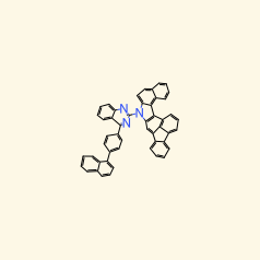 c1ccc2c(c1)-c1cccc3c1c-2cc1c3c2c3ccccc3ccc2n1-c1nc(-c2ccc(-c3cccc4ccccc34)cc2)c2ccccc2n1